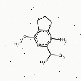 COc1nc(C(C)C)c(N)c2c1CCC2